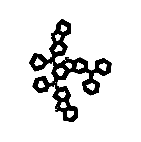 c1ccc(N(c2ccccc2)c2ccc3sc4c(N(c5ccccc5)c5ccc6c(c5)sc5ccccc56)cc(N(c5ccccc5)c5ccc6c(c5)sc5ccccc56)cc4c3c2)cc1